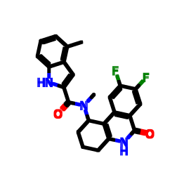 Cc1cccc2[nH]c(C(=O)N(C)C3CCCc4[nH]c(=O)c5cc(F)c(F)cc5c43)cc12